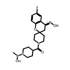 CB(O)N1CCC(C(=O)N2CCC3(CC2)C/C(=N\O)c2cc(F)ccc2O3)CC1